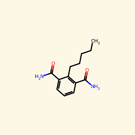 CCCCCc1c(C(N)=O)cccc1C(N)=O